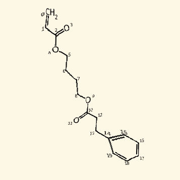 C=CC(=O)OCCCCOC(=O)CCc1ccccc1